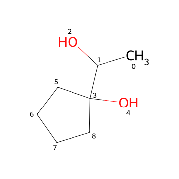 CC(O)C1(O)CCCC1